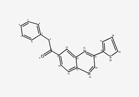 O=C(Cc1ccccc1)c1ccc2n[c]c(-c3cccs3)nc2c1